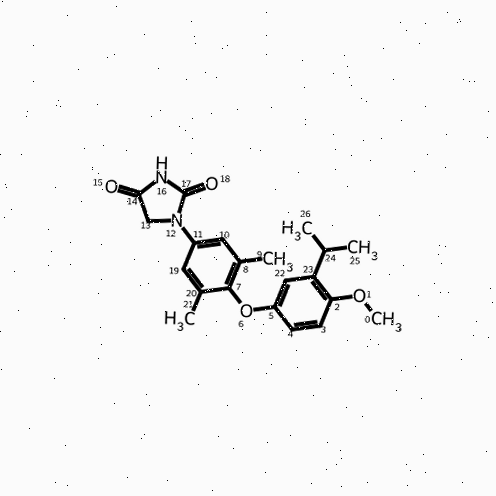 COc1ccc(Oc2c(C)cc(N3CC(=O)NC3=O)cc2C)cc1C(C)C